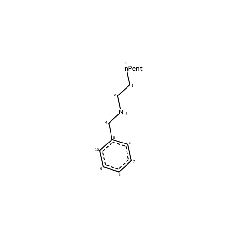 CCCCCCC[N]Cc1ccccc1